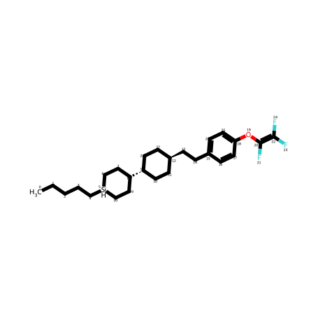 CCCCC[SiH]1CCC([C@H]2CC[C@H](CCc3ccc(OC(F)=C(F)F)cc3)CC2)CC1